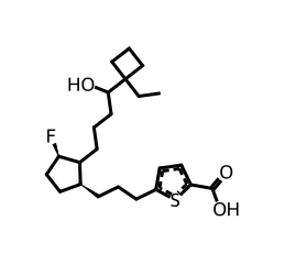 CCC1(C(O)CCCC2[C@@H](CCCc3ccc(C(=O)O)s3)CC[C@H]2F)CCC1